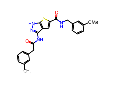 COc1cccc(CNC(=O)c2cc3c(NC(=O)Cc4cccc(C)c4)n[nH]c3s2)c1